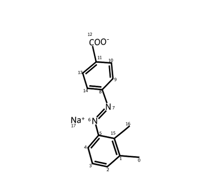 Cc1cccc(N=Nc2ccc(C(=O)[O-])cc2)c1C.[Na+]